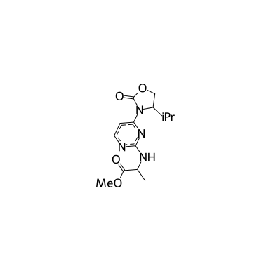 COC(=O)C(C)Nc1nccc(N2C(=O)OCC2C(C)C)n1